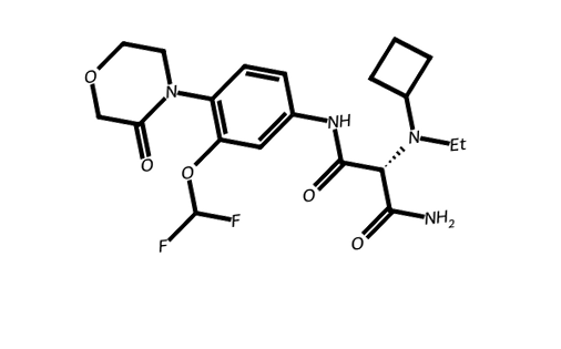 CCN(C1CCC1)[C@H](C(N)=O)C(=O)Nc1ccc(N2CCOCC2=O)c(OC(F)F)c1